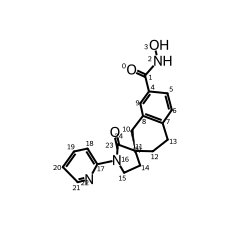 O=C(NO)c1ccc2c(c1)C[C@@]1(CC2)CCN(c2ccccn2)C1=O